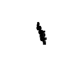 CCCC1CCC(c2ccc(C(=O)Oc3ccc(C#N)c(F)c3)c(F)c2)CC1